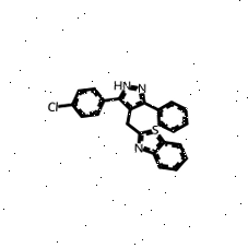 Clc1ccc(-c2[nH]nc(-c3ccccc3)c2Cc2nc3ccccc3s2)cc1